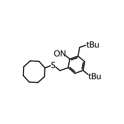 CC(C)(C)Cc1cc(C(C)(C)C)cc(CSC2CCCCCCC2)c1N=O